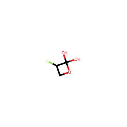 OC1(O)OCC1F